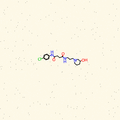 O=C(CCC(=O)Nc1ccc(Cl)cc1)NCCCN1CCCC(O)C1